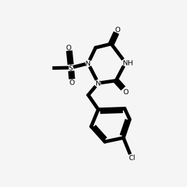 CS(=O)(=O)N1CC(=O)NC(=O)N1Cc1ccc(Cl)cc1